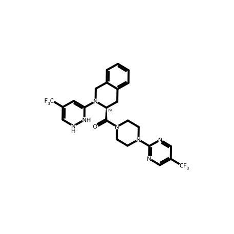 O=C([C@@H]1Cc2ccccc2CN1C1=CC(C(F)(F)F)=CNN1)N1CCN(c2ncc(C(F)(F)F)cn2)CC1